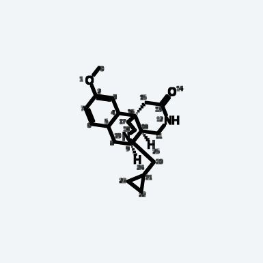 COC1=CC2C(C=C1)C[C@@H]1[C@@H]3CNC(=O)C[C@]23CCN1CC1CC1